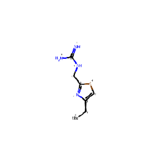 CC(C)(C)Cc1csc(CNC(=N)N)n1